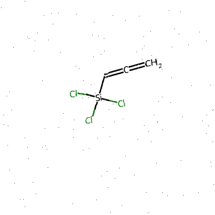 C=C=C[Si](Cl)(Cl)Cl